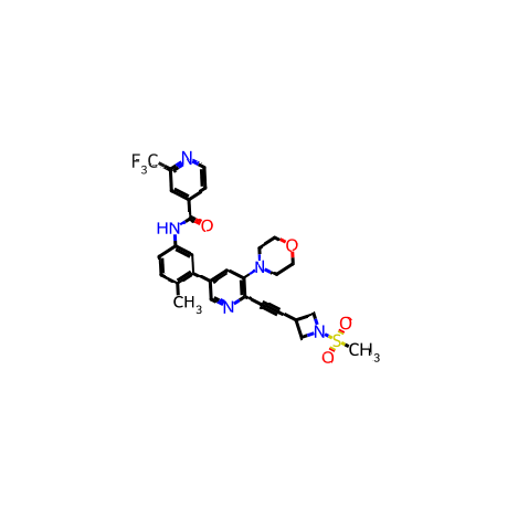 Cc1ccc(NC(=O)c2ccnc(C(F)(F)F)c2)cc1-c1cnc(C#CC2CN(S(C)(=O)=O)C2)c(N2CCOCC2)c1